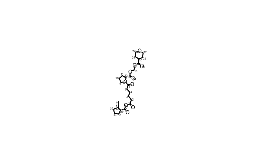 O=C(CCCCC(=O)N1CCC[C@@H]1C(=O)OCOC(=O)C1CCOCC1)OC(=O)[C@H]1CCCN1